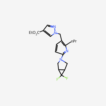 CCCc1nc(N2CC3C(C2)C3(F)F)ccc1Cn1cc(C(=O)OCC)cn1